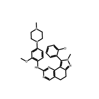 COc1cc(N2CCN(C)CC2)ccc1Nc1ncc2c(n1)-c1c(nn(C)c1-c1ccccc1Cl)CC2